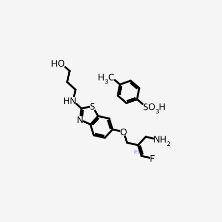 Cc1ccc(S(=O)(=O)O)cc1.NC/C(=C\F)COc1ccc2nc(NCCCO)sc2c1